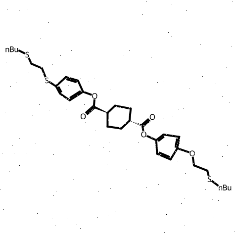 CCCCSCCOc1ccc(OC(=O)[C@H]2CC[C@H](C(=O)Oc3ccc(SCCSCCCC)cc3)CC2)cc1